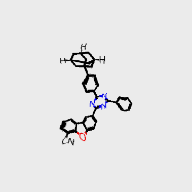 N#Cc1cccc2c1oc1ccc(-c3nc(-c4ccccc4)nc(-c4ccc(C56C[C@H]7C[C@@H](C5)C[C@@H](C6)C7)cc4)n3)cc12